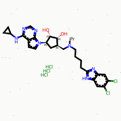 CC(C)N(CCCCc1nc2cc(Cl)c(Cl)cc2[nH]1)C[C@H]1C[C@@H](n2ccc3c(NC4CC4)ncnc32)[C@H](O)[C@@H]1O.Cl.Cl.Cl